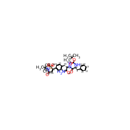 CC(C)(C)OC(=O)N[C@@H](Cc1ccccc1)C(=O)N[C@@H](Cc1ccc(C2=CC(=O)N(C(C)(C)C)S2(=O)=O)cc1)C(N)=O